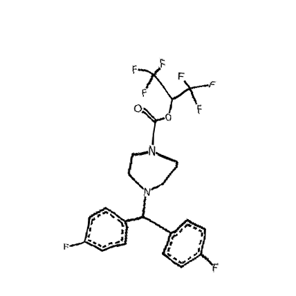 O=C(OC(C(F)(F)F)C(F)(F)F)N1CCN(C(c2ccc(F)cc2)c2ccc(F)cc2)CC1